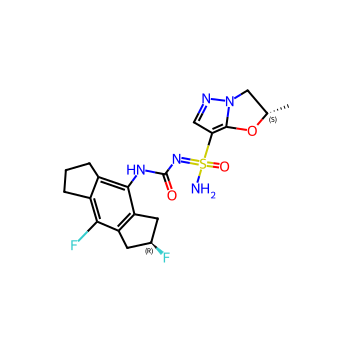 C[C@H]1Cn2ncc(S(N)(=O)=NC(=O)Nc3c4c(c(F)c5c3C[C@@H](F)C5)CCC4)c2O1